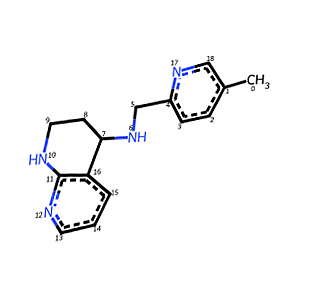 Cc1ccc(CNC2CCNc3ncccc32)nc1